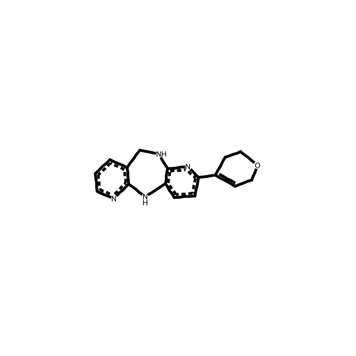 C1=C(c2ccc3c(n2)NCc2cccnc2N3)CCOC1